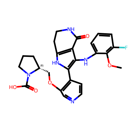 COc1c(F)cccc1Nc1c(-c2ccncc2OC[C@H]2CCCN2C(=O)O)[nH]c2c1C(=O)NCC2